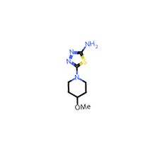 COC1CCN(c2nnc(N)s2)CC1